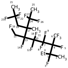 CCC(C)(F)C(F)(C(F)(F)F)C(F)(F)C(F)(F)C(F)(CF)C(C)(CC(C)(F)F)C(C)(F)F